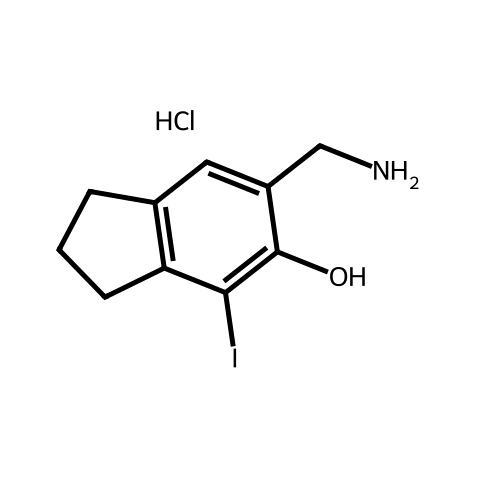 Cl.NCc1cc2c(c(I)c1O)CCC2